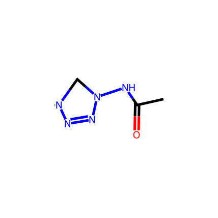 CC(=O)NN1C[N]N=N1